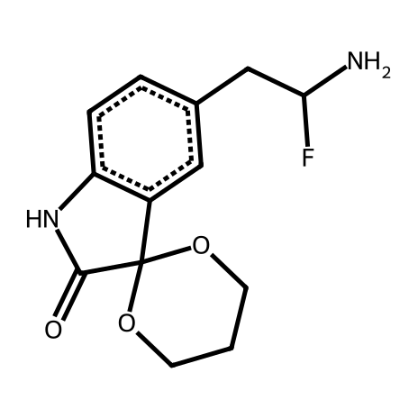 NC(F)Cc1ccc2c(c1)C1(OCCCO1)C(=O)N2